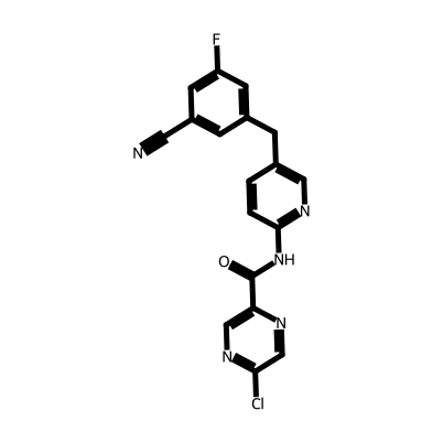 N#Cc1cc(F)cc(Cc2ccc(NC(=O)c3cnc(Cl)cn3)nc2)c1